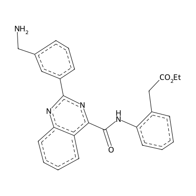 CCOC(=O)Cc1ccccc1NC(=O)c1nc(-c2cccc(CN)c2)nc2ccccc12